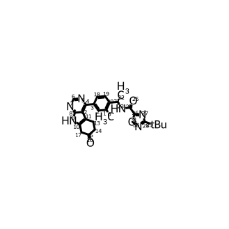 Cc1cc(-c2ncnc3[nH]c4c(c23)CCC(=O)C4)ccc1[C@@H](C)NC(=O)c1nc(C(C)(C)C)no1